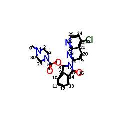 CN1CCN(C(=O)OC2c3ccccc3C(=O)N2c2ccc3c(Cl)ccnc3n2)CC1